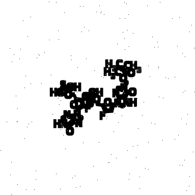 CC(C)(C)C(=O)OCn1cnc2c(c1=O)NCN2[C@H]1C[C@@H](F)[C@@H](COP(=O)(O)O[C@H]2[C@@H](F)[C@H](n3cnc4c(=O)[nH]cnc43)O[C@@H]2COP(O)(O)=S)O1